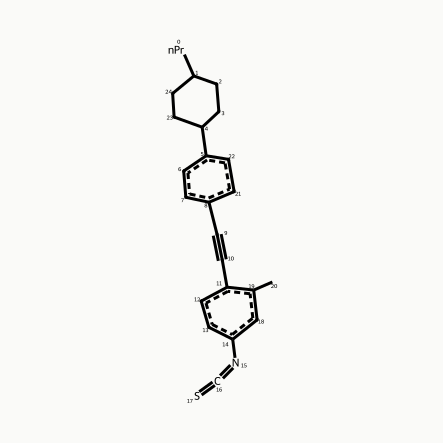 CCCC1CCC(c2ccc(C#Cc3ccc(N=C=S)cc3C)cc2)CC1